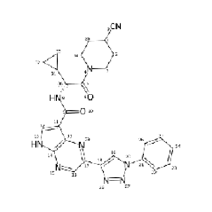 N#CC1CCN(C(=O)[C@H](NC(=O)c2c[nH]c3ncc(-c4cn(-c5ccccc5)nn4)nc23)C2CC2)CC1